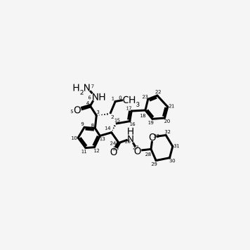 CCC[C@@H](C(=O)NN)c1ccccc1[C@H](C/C=C/c1ccccc1)C(=O)NOC1CCCCO1